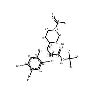 CC(=O)N1CCC([C@@H](Cc2cc(F)c(F)cc2F)NC(=O)OC(C)(C)C)CC1